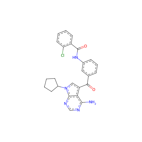 Nc1ncnc2c1c(C(=O)c1cccc(NC(=O)c3ccccc3Cl)c1)cn2C1CCCC1